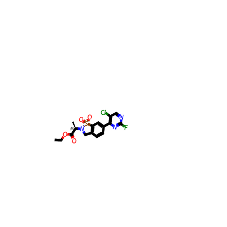 CCOC(=O)[C@@H](C)N1Cc2ccc(-c3nc(F)ncc3Cl)cc2S1(=O)=O